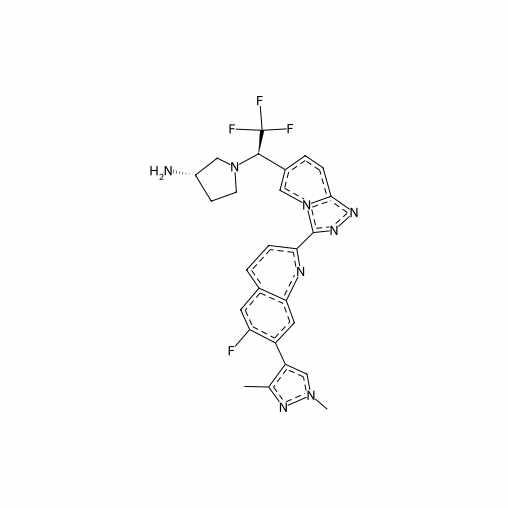 Cc1nn(C)cc1-c1cc2nc(-c3nnc4ccc([C@@H](N5CC[C@H](N)C5)C(F)(F)F)cn34)ccc2cc1F